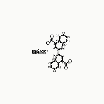 O=C([O-])c1cc(-c2cc(C(=O)[O-])c3ccccc3n2)nc2ccccc12.[Br-].[Br-].[K+].[K+].[Pd+2]